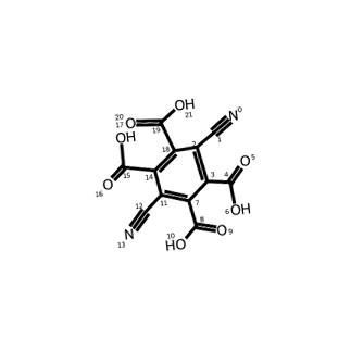 N#Cc1c(C(=O)O)c(C(=O)O)c(C#N)c(C(=O)O)c1C(=O)O